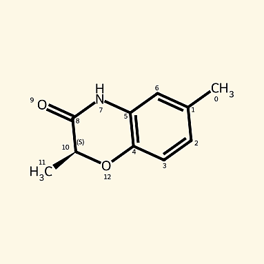 Cc1ccc2c(c1)NC(=O)[C@H](C)O2